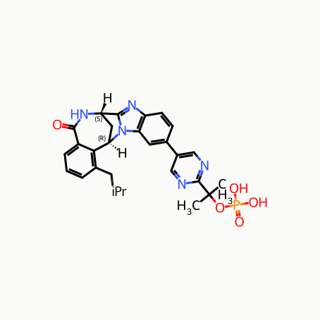 CC(C)Cc1cccc2c1[C@H]1C[C@H](NC2=O)c2nc3ccc(-c4cnc(C(C)(C)OP(=O)(O)O)nc4)cc3n21